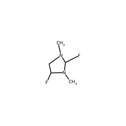 CN1CC(F)N(C)C1F